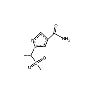 CC(n1cc(C(N)=O)cn1)S(C)(=O)=O